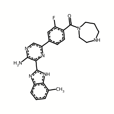 Cc1cccc2nc(-c3nc(-c4ccc(C(=O)N5CCCNCC5)c(F)c4)cnc3N)[nH]c12